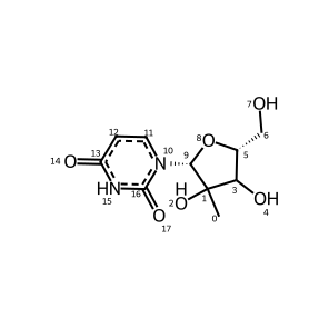 CC1(O)C(O)[C@@H](CO)O[C@H]1n1ccc(=O)[nH]c1=O